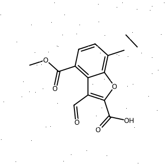 CC.COC(=O)c1ccc(C)c2oc(C(=O)O)c(C=O)c12